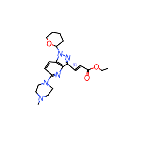 CCOC(=O)/C=C/c1nn(C2CCCCO2)c2ccc(N3CCN(C)CC3)nc12